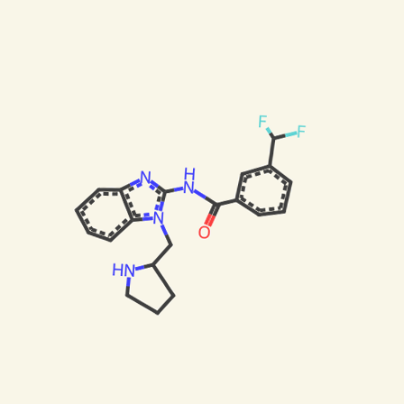 O=C(Nc1nc2ccccc2n1CC1CCCN1)c1cccc(C(F)F)c1